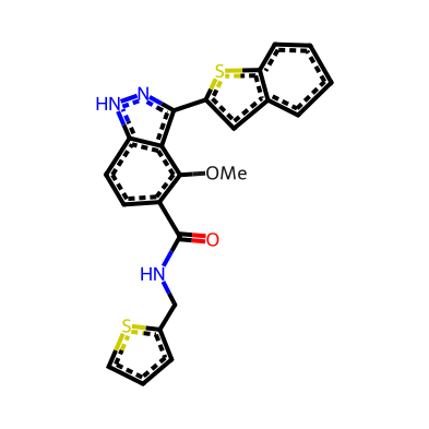 COc1c(C(=O)NCc2cccs2)ccc2[nH]nc(-c3cc4ccccc4s3)c12